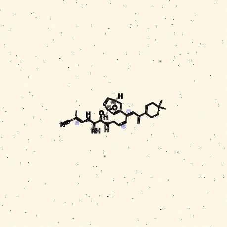 C=C(/C=C(\C=C/CNC(=O)C(=N)N/C=C(\C)C#N)C1=C[C@H]2C=C[C@@H](C1)O2)C1=CCC(C)(C)CC1